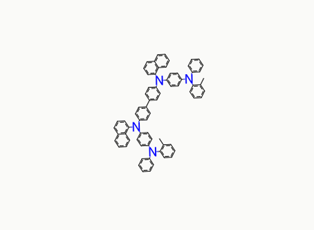 Cc1ccccc1N(c1ccccc1)c1ccc(N(c2ccc(-c3ccc(N(c4ccc(N(c5ccccc5)c5ccccc5C)cc4)c4cccc5ccccc45)cc3)cc2)c2cccc3ccccc23)cc1